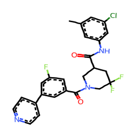 Cc1cc(Cl)cc(NC(=O)C2CN(C(=O)c3cc(F)cc(-c4ccncc4)c3)CC(F)(F)C2)c1